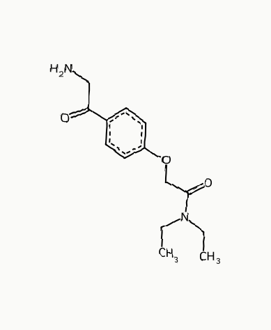 CCN(CC)C(=O)COc1ccc(C(=O)CN)cc1